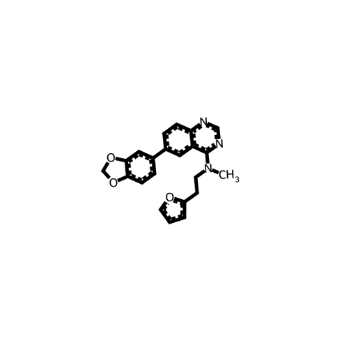 CN(CCc1ccco1)c1ncnc2ccc(-c3ccc4c(c3)OCO4)cc12